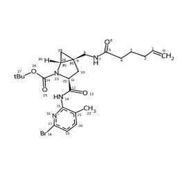 C=CCCCC(=O)NC[C@@]12C[C@@H](C(=O)Nc3nc(Br)ccc3C)N(C(=O)OC(C)(C)C)[C@@H]1C2